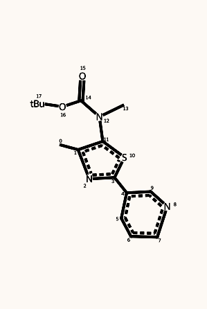 Cc1nc(-c2cccnc2)sc1N(C)C(=O)OC(C)(C)C